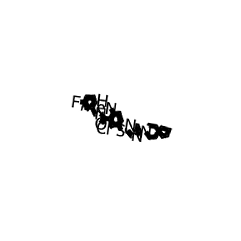 CNc1ccc(Sc2cnc(N3CCC4(CCCC4)CC3)cn2)c(Cl)c1C(=O)NCc1cccc(F)c1